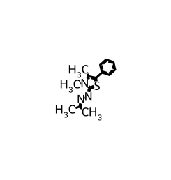 CC(C)=N/N=c1/sc(-c2ccccc2)c(C)n1C